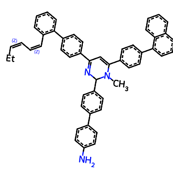 CC/C=C\C=C/c1ccccc1-c1ccc(C2=NC(c3ccc(-c4ccc(N)cc4)cc3)N(C)C(c3ccc(-c4cccc5ccccc45)cc3)=C2)cc1